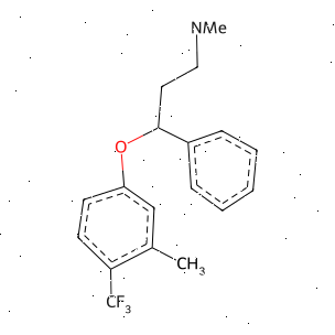 CNCCC(Oc1ccc(C(F)(F)F)c(C)c1)c1ccccc1